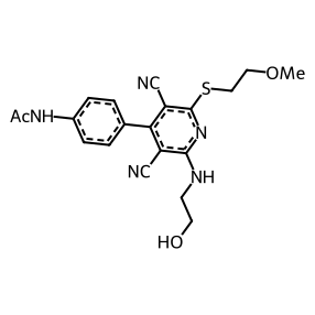 COCCSc1nc(NCCO)c(C#N)c(-c2ccc(NC(C)=O)cc2)c1C#N